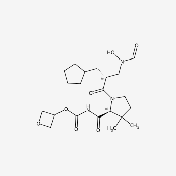 CC1(C)CCN(C(=O)[C@H](CC2CCCC2)CN(O)C=O)[C@@H]1C(=O)NC(=O)OC1COC1